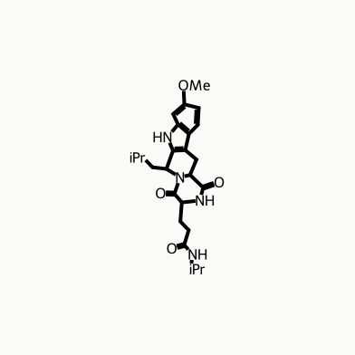 COc1ccc2c3c([nH]c2c1)C(CC(C)C)N1C(=O)C(CCC(=O)NC(C)C)NC(=O)C1C3